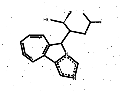 CC(C)CC(C1C2=C(C=C=CC=C2)c2cncn21)[C@H](C)O